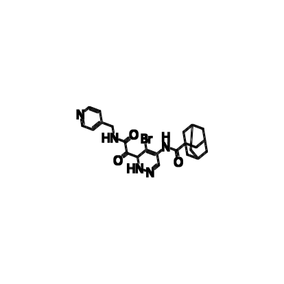 O=C(NCc1ccncc1)C(=O)C1NN=CC(NC(=O)C23CC4CC(CC(C4)C2)C3)=C1Br